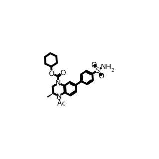 CC(=O)N1c2ccc(-c3ccc(S(N)(=O)=O)cc3)cc2N(C(=O)OC2CCCCC2)C[C@@H]1C